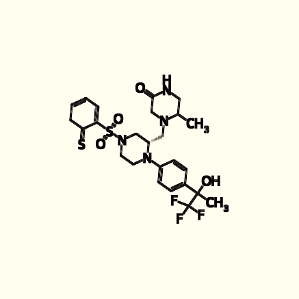 CC1CNC(=O)CN1C[C@H]1CN(S(=O)(=O)C2=CC=CCC2=S)CCN1c1ccc(C(C)(O)C(F)(F)F)cc1